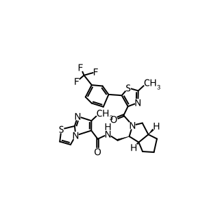 Cc1nc(C(=O)N2C[C@@H]3CCC[C@@H]3[C@H]2CNC(=O)c2c(C)nc3sccn23)c(-c2cccc(C(F)(F)F)c2)s1